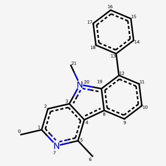 Cc1cc2c(c(C)n1)c1cccc(-c3ccccc3)c1n2C